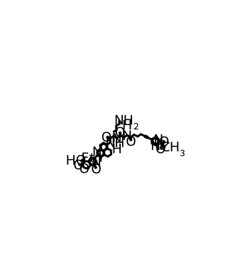 CC[C@@]1(O)C(=O)OCc2c1cc1n(c2=O)Cc2c-1nc1ccc(NC(=O)[C@H](CCCCN)NC(=O)CNC(=O)CCCC#Cc3cnc(S(C)(=O)=O)nc3)c3c1c2CCC3